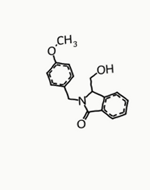 COc1ccc(CN2C(=O)c3ccccc3C2CO)cc1